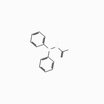 S=C(S)NN(c1ccccc1)c1ccccc1